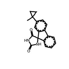 CC1(c2ccc3c(c2)C2(NC(=O)NC2=O)c2ccccc2-3)CC1